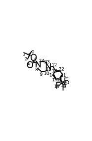 CC(C)(C)OC(=O)N1CCCN(Cc2ccc(C(F)(F)F)cc2)CC1